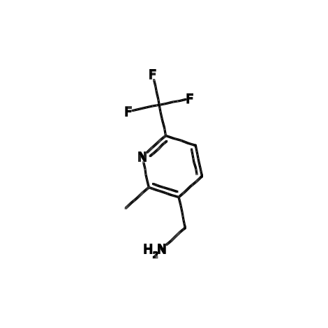 Cc1nc(C(F)(F)F)ccc1CN